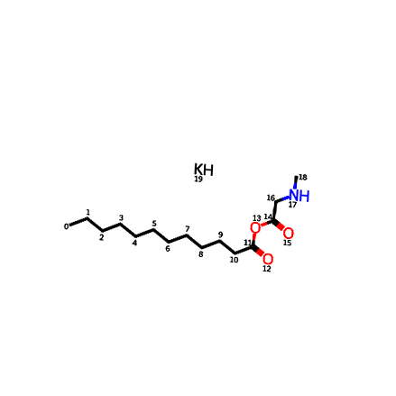 CCCCCCCCCCCC(=O)OC(=O)CNC.[KH]